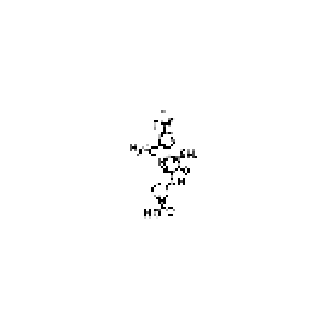 COc1cc(C(F)(F)F)ccc1-c1nnc(NC2CCCN(C(=O)O)C2)c(=O)n1C